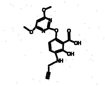 C#CCNc1ccc(Oc2nc(OC)cc(OC)n2)c(C(=O)O)c1O